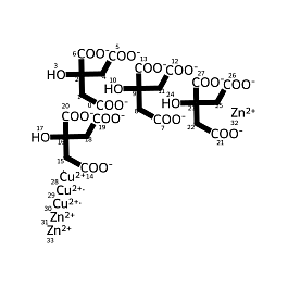 O=C([O-])CC(O)(CC(=O)[O-])C(=O)[O-].O=C([O-])CC(O)(CC(=O)[O-])C(=O)[O-].O=C([O-])CC(O)(CC(=O)[O-])C(=O)[O-].O=C([O-])CC(O)(CC(=O)[O-])C(=O)[O-].[Cu+2].[Cu+2].[Cu+2].[Zn+2].[Zn+2].[Zn+2]